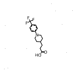 O=C(O)CCC1CCN(c2ccc(C(F)(F)F)cc2)CC1